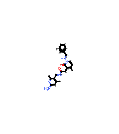 Cc1cc(N)nc(C)c1CNC(=O)Cc1c(C)ccn(NCC2C[C@H]3C=CC2C3)c1=O